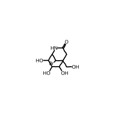 O=C1CC2(CO)C(O)C(O)C(O)C(N1)C2Br